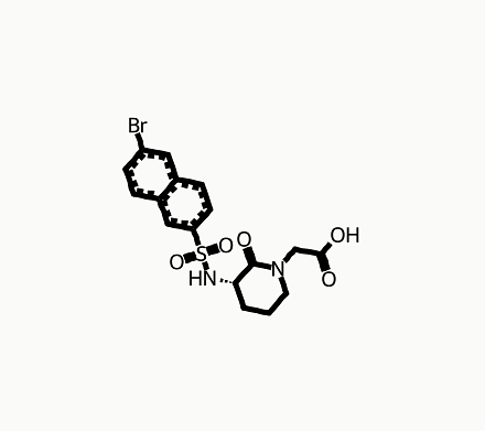 O=C(O)CN1CCC[C@H](NS(=O)(=O)c2ccc3cc(Br)ccc3c2)C1=O